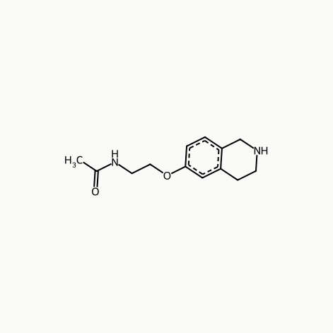 CC(=O)NCCOc1ccc2c(c1)CCNC2